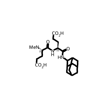 CN[C@@H](CCC(=O)O)C(=O)N[C@@H](CCC(=O)O)C(=O)NC1C2CC3CC(C2)CC1C3